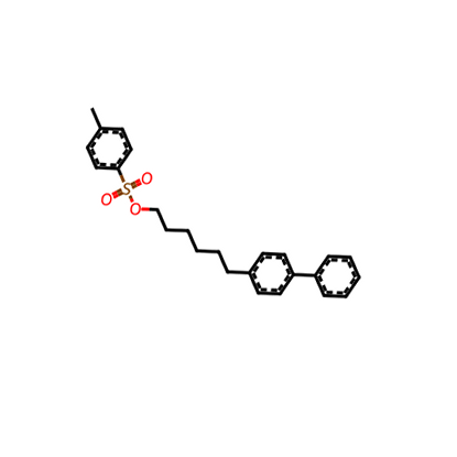 Cc1ccc(S(=O)(=O)OCCCCCCc2ccc(-c3ccccc3)cc2)cc1